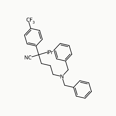 CC(C)C(C#N)(CCCN(Cc1ccccc1)Cc1ccccc1)c1ccc(C(F)(F)F)cc1